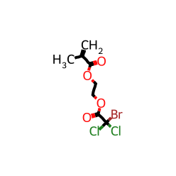 C=C(C)C(=O)OCCOC(=O)C(Cl)(Cl)Br